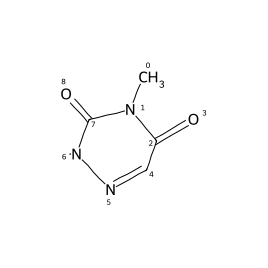 CN1C(=O)C=N[N]C1=O